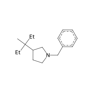 CCC(C)(CC)C1CCN(Cc2ccccc2)C1